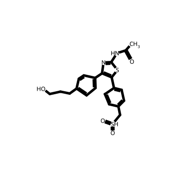 CC(=O)Nc1nc(-c2ccc(CCCO)cc2)c(-c2ccc(C[SH](=O)=O)cc2)s1